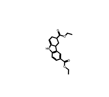 CCOC(=O)c1ccc2c(c1)C1CC(C(=O)OCC)CC=C1N2